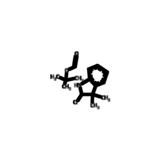 CC(C)(C)OC=O.CC1(C)c2ccccc2NC1Cl